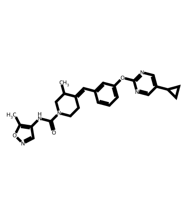 Cc1oncc1NC(=O)N1CCC(=Cc2cccc(Oc3ncc(C4CC4)cn3)c2)C(C)C1